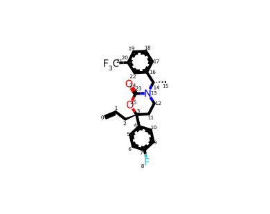 C=CC[C@]1(c2ccc(F)cc2)CCN([C@@H](C)c2cccc(C(F)(F)F)c2)C(=O)O1